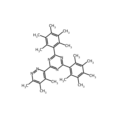 Cc1nnc(-c2nc(-c3c(C)c(C)c(C)c(C)c3C)nc(-c3c(C)c(C)c(C)c(C)c3C)n2)c(C)c1C